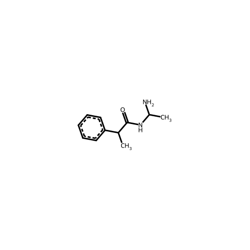 CC(N)NC(=O)C(C)c1ccccc1